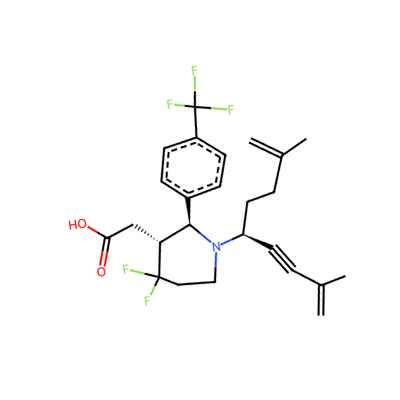 C=C(C)C#C[C@H](CCC(=C)C)N1CCC(F)(F)[C@H](CC(=O)O)[C@H]1c1ccc(C(F)(F)F)cc1